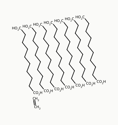 C=C.O=C(O)CCCCCCCCC(=O)O.O=C(O)CCCCCCCCC(=O)O.O=C(O)CCCCCCCCC(=O)O.O=C(O)CCCCCCCCC(=O)O.O=C(O)CCCCCCCCC(=O)O.O=C(O)CCCCCCCCC(=O)O.O=C(O)CCCCCCCCC(=O)O